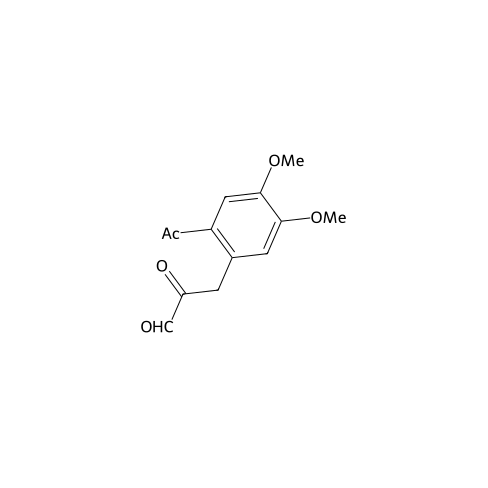 COc1cc(CC(=O)C=O)c(C(C)=O)cc1OC